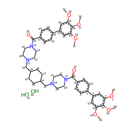 COc1cc(-c2ccc(C(=O)N3CCN(CC4CCC(CN5CCN(C(=O)c6ccc(-c7cc(OC)c(OC)c(OC)c7)cc6)CC5)CC4)CC3)cc2)cc(OC)c1OC.Cl.Cl